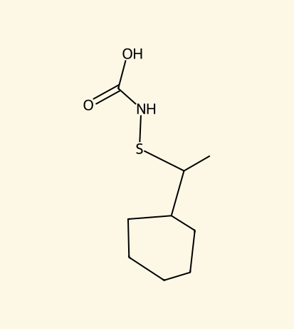 CC(SNC(=O)O)C1CCCCC1